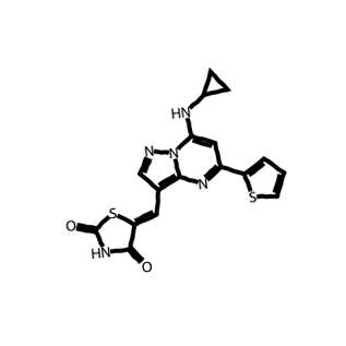 O=C1NC(=O)C(=Cc2cnn3c(NC4CC4)cc(-c4cccs4)nc23)S1